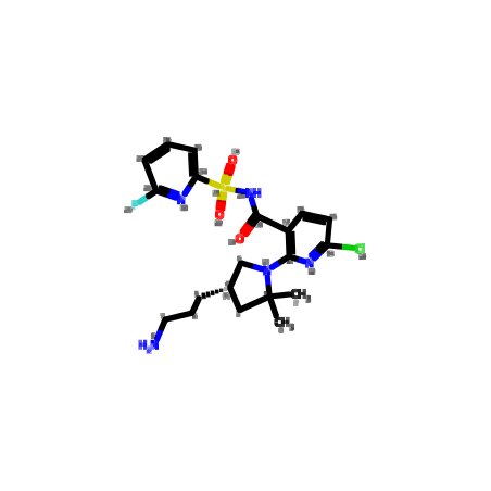 CC1(C)C[C@H](CCCN)CN1c1nc(Cl)ccc1C(=O)NS(=O)(=O)c1cccc(F)n1